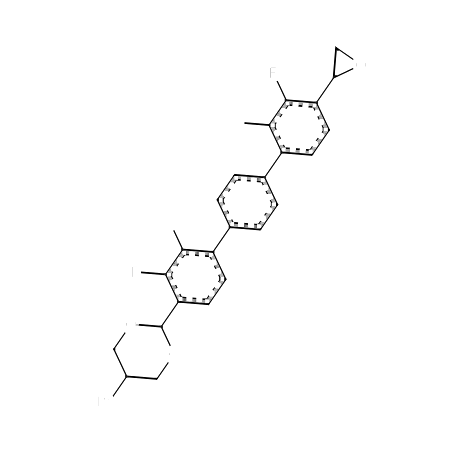 CCCC1COC(c2ccc(-c3ccc(-c4ccc(C5CO5)c(F)c4F)cc3)c(F)c2F)OC1